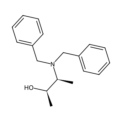 C[C@@H](O)[C@H](C)N(Cc1ccccc1)Cc1ccccc1